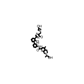 COc1nc(-c2cccc(-c3cccc(NC(=O)c4cc(C)c5c(n4)CN(C(C)CO)CC5)c3Cl)c2Cl)cnc1CN1CC(O)C1